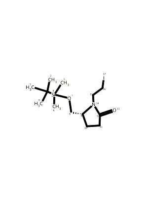 CC(C)(C)[Si](C)(C)OC[C@H]1CCC(=O)N1CCI